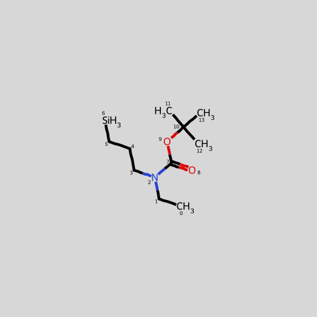 CCN(CCC[SiH3])C(=O)OC(C)(C)C